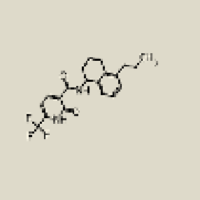 CCCc1cccc2c1CCCC2NC(=O)c1ccc(C(F)(F)F)[nH]c1=O